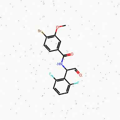 COc1cc(C(=O)NC(C=O)c2c(F)cccc2F)ccc1Br